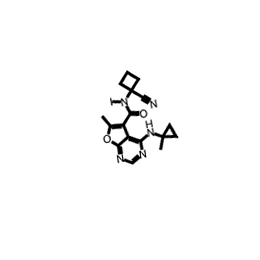 Cc1oc2ncnc(NC3(C)CC3)c2c1C(=O)N(I)C1(C#N)CCC1